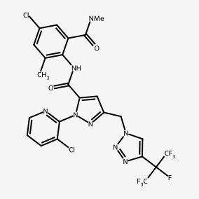 CNC(=O)c1cc(Cl)cc(C)c1NC(=O)c1cc(Cn2cc(C(F)(C(F)(F)F)C(F)(F)F)nn2)nn1-c1ncccc1Cl